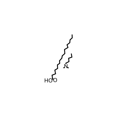 CCCCCCCCCCCCCCCCCC(=O)O.CCCCCN(C)C